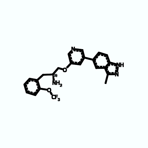 Cc1n[nH]c2ccc(-c3cncc(OC[C@@H](N)Cc4ccccc4OC(F)(F)F)c3)cc12